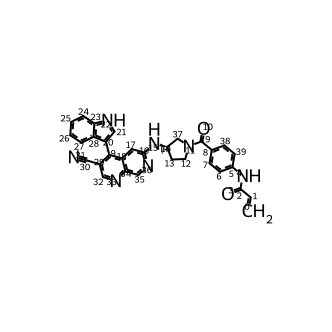 C=CC(=O)Nc1ccc(C(=O)N2CC[C@@H](Nc3cc4c(-c5c[nH]c6ccccc56)c(C#N)cnc4cn3)C2)cc1